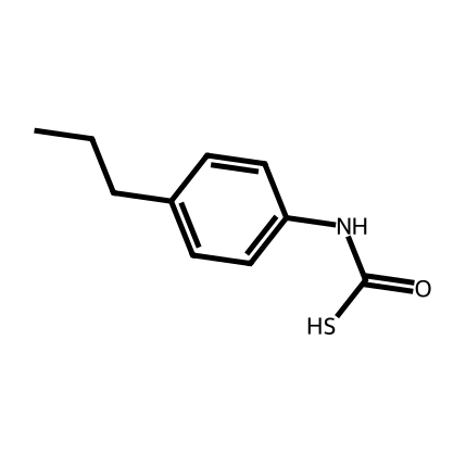 CCCc1ccc(NC(=O)S)cc1